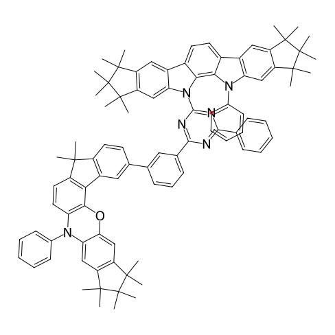 CC1(C)c2ccc(-c3cccc(-c4nc(-c5ccccc5)nc(-n5c6cc7c(cc6c6ccc8c9cc%10c(cc9n(-c9ccccc9)c8c65)C(C)(C)C(C)(C)C%10(C)C)C(C)(C)C(C)(C)C7(C)C)n4)c3)cc2-c2c1ccc1c2Oc2cc3c(cc2N1c1ccccc1)C(C)(C)C(C)(C)C3(C)C